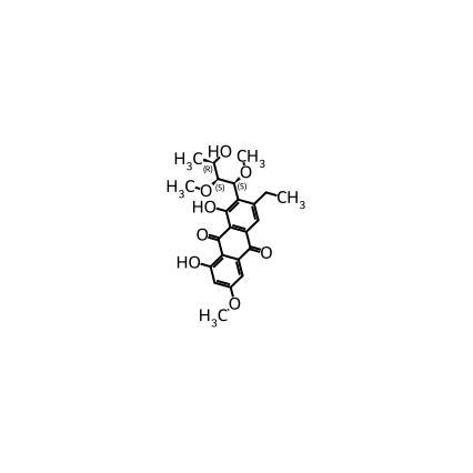 CCc1cc2c(c(O)c1[C@H](OC)[C@@H](OC)[C@@H](C)O)C(=O)c1c(O)cc(OC)cc1C2=O